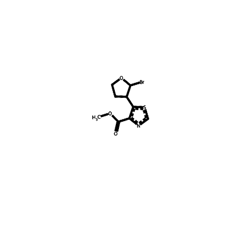 COC(=O)c1ncsc1C1CCOC1Br